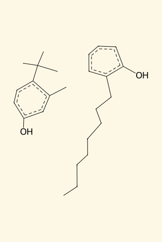 CCCCCCCCc1ccccc1O.Cc1cc(O)ccc1C(C)(C)C